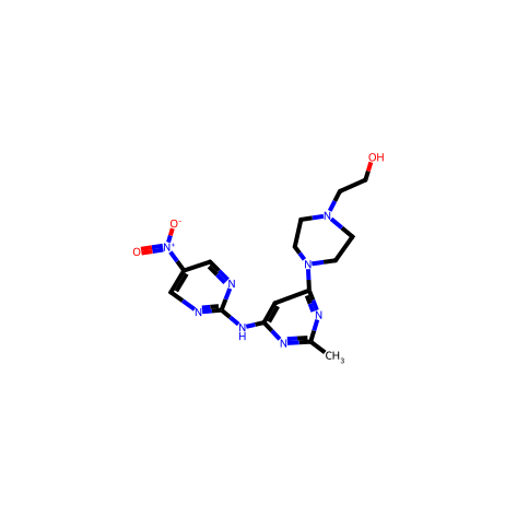 Cc1nc(Nc2ncc([N+](=O)[O-])cn2)cc(N2CCN(CCO)CC2)n1